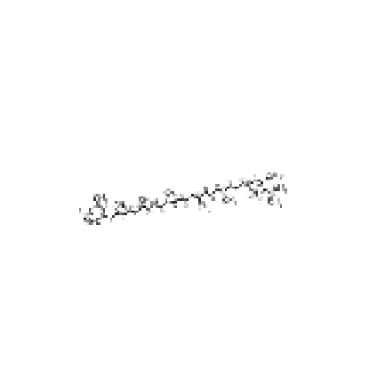 COC(C=C(C)C)C/C(C)=C/C=C/C(C)=C/C=C/C(C)=C/C=C/C=C(C)/C=C/C=C(C)/C=C/C=C(\C)CC(C=C(C)C)OC